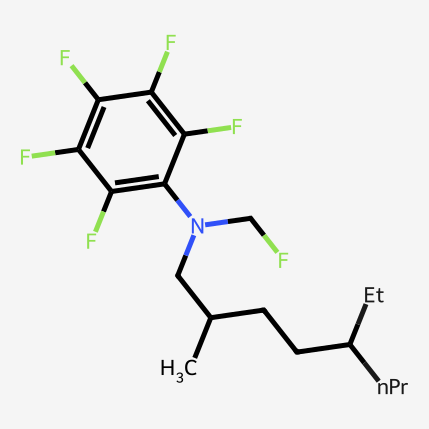 CCCC(CC)CCC(C)CN(CF)c1c(F)c(F)c(F)c(F)c1F